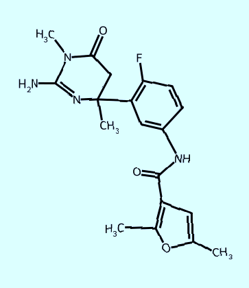 Cc1cc(C(=O)Nc2ccc(F)c(C3(C)CC(=O)N(C)C(N)=N3)c2)c(C)o1